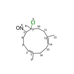 C/C1=C/CCC(N=O)C(C)(Cl)CC/C(C)=C\CC1